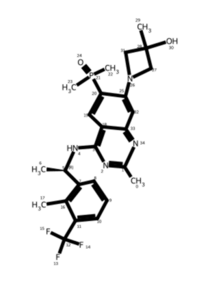 Cc1nc(N[C@H](C)c2cccc(C(F)(F)F)c2C)c2cc(P(C)(C)=O)c(N3CC(C)(O)C3)cc2n1